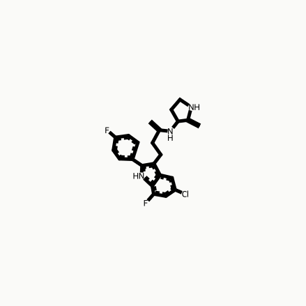 C=C(CCc1c(-c2ccc(F)cc2)[nH]c2c(F)cc(Cl)cc12)NC1CCNC1=C